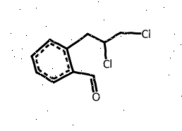 O=Cc1ccccc1CC(Cl)CCl